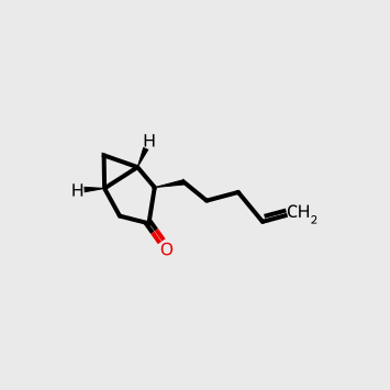 C=CCCC[C@H]1C(=O)C[C@@H]2C[C@@H]21